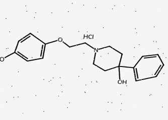 Cl.Oc1ccc(OCCN2CCC(O)(c3ccccc3)CC2)cc1